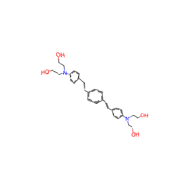 OCCN(CCO)c1ccc(/C=C/c2ccc(/C=C/c3ccc(N(CCO)CCO)cc3)cc2)cc1